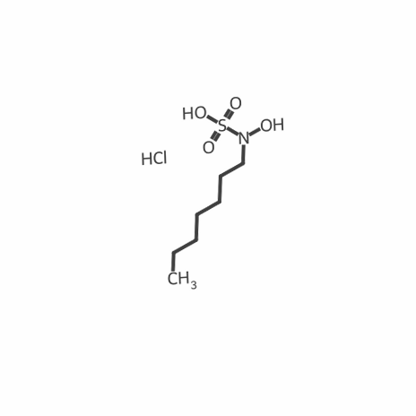 CCCCCCCN(O)S(=O)(=O)O.Cl